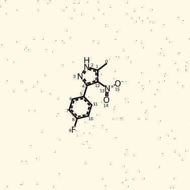 Cc1[nH]nc(-c2ccc(F)cc2)c1[N+](=O)[O-]